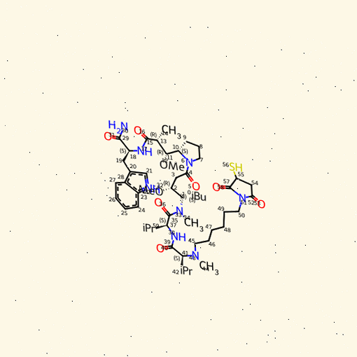 CC[C@H](C)[C@@H]([C@@H](CC(=O)N1CCC[C@H]1[C@H](OC)[C@@H](C)C(=O)N[C@@H](Cc1c[nH]c2ccccc12)C(N)=O)OC)N(C)C(=O)[C@@H](NC(=O)[C@H](C(C)C)N(C)CCCCCCN1C(=O)CC(S)C1=O)C(C)C